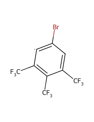 FC(F)(F)c1[c]c(Br)cc(C(F)(F)F)c1C(F)(F)F